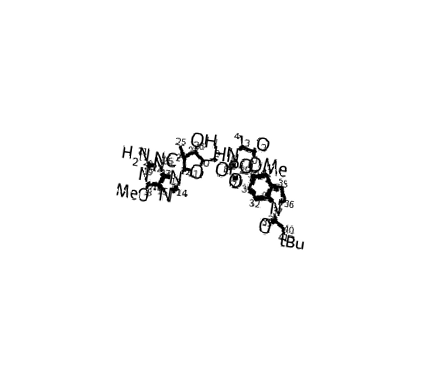 COC(=O)[C@H](C)NP(=O)(OC[C@H]1OC(n2cnc3c(OC)nc(N)nc32)[C@](C)(C#N)[C@@H]1O)Oc1ccc2c(ccn2C(=O)CC(C)(C)C)c1